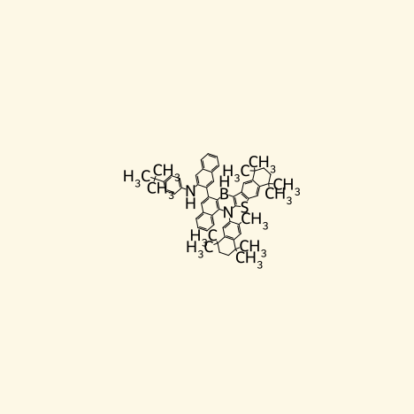 Cc1cc2c(cc1N1c3sc4cc5c(cc4c3Bc3c(-c4cc6ccccc6cc4Nc4ccc(C(C)(C)C)cc4)cc4ccccc4c31)C(C)(C)CCC5(C)C)C(C)(C)CCC2(C)C